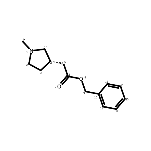 CN1CC[C@@H](CC(=O)OCc2ccccc2)C1